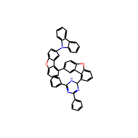 c1ccc(C2=NC(c3cccc4oc5ccc(-c6cccc7oc8ccc(-n9c%10ccccc%10c%10ccccc%109)cc8c67)cc5c34)NC(c3ccccc3)=N2)cc1